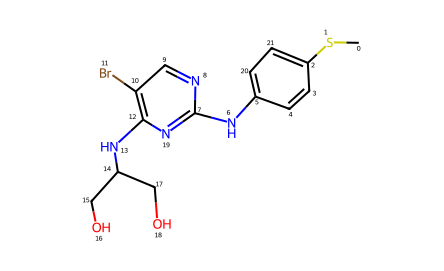 CSc1ccc(Nc2ncc(Br)c(NC(CO)CO)n2)cc1